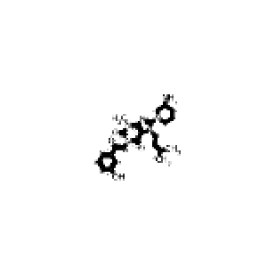 CC(C)=CCn1c(N2CCCC(N)C2)nc2c1c(=O)n(CC(=O)c1cccc(O)c1)c(=O)n2C